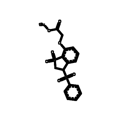 CC(C)(C)OC(=O)COc1cccc2c1S(=O)(=O)CC2S(=O)(=O)c1ccccc1